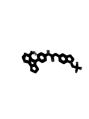 Nc1ncnc2c3c(n(-c4ccc(NC(=O)Cc5ccc6c(c5)CCN6CC(F)(F)F)cc4)c12)CCC3